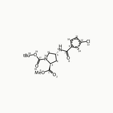 COC(=O)[C@@H]1C[C@@H](NC(=O)c2ccc(Cl)s2)CN1C(=O)OC(C)(C)C